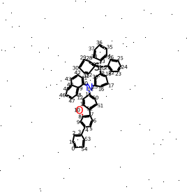 c1ccc(-c2ccc3c(c2)oc2cc(N(c4cccc([Si](c5ccccc5)(c5ccccc5)c5ccccc5)c4)c4cccc5ccccc45)ccc23)cc1